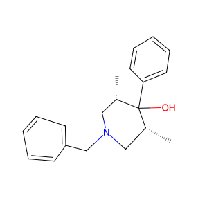 C[C@@H]1CN(Cc2ccccc2)C[C@H](C)C1(O)c1ccccc1